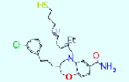 CC[C@H](CC/C=C/CCCS)CN1CC(CCCc2cccc(Cl)c2)COc2ccc(C(N)=O)cc21